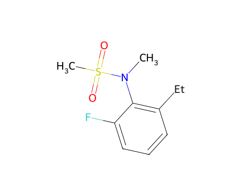 CCc1cccc(F)c1N(C)S(C)(=O)=O